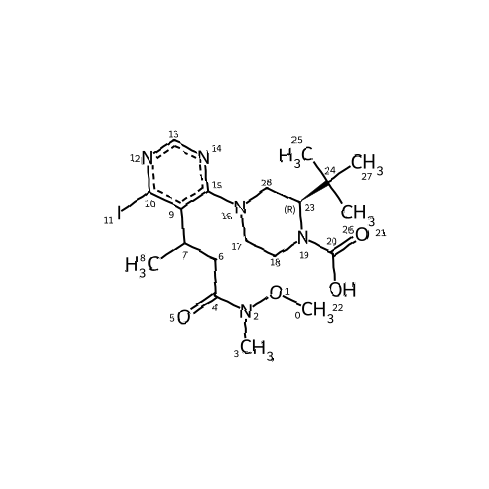 CON(C)C(=O)CC(C)c1c(I)ncnc1N1CCN(C(=O)O)[C@H](C(C)(C)C)C1